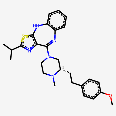 COc1ccc(CC[C@H]2CN(C3=Nc4ccccc4Nc4sc(C(C)C)nc43)CCN2C)cc1